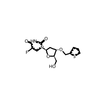 O=c1[nH]c(=O)n([C@H]2C[C@H](OCc3cccs3)[C@@H](CO)O2)cc1F